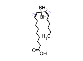 BC(B)(/C=C\CCCCC)/C=C\CCCCCCCC(=O)O